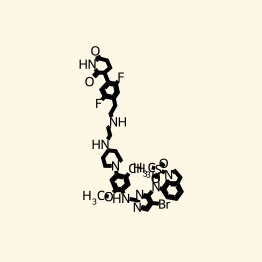 COc1cc(N2CCC(NCCNCCc3cc(F)c(C4CCC(=O)NC4=O)cc3F)CC2)c(C)cc1Nc1ncc(Br)c(Nc2cccc3c2N(S(C)(=O)=O)CC3)n1